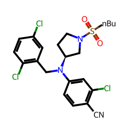 CCCCS(=O)(=O)N1CC[C@H](N(Cc2cc(Cl)ccc2Cl)c2ccc(C#N)c(Cl)c2)C1